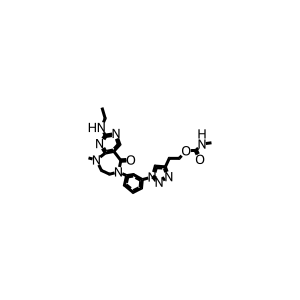 CCNc1ncc2c(n1)N(C)CCN(c1cccc(-n3cc(CCOC(=O)NC)nn3)c1)C2=O